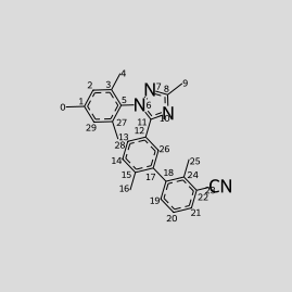 Cc1cc(C)c(-n2nc(C)nc2-c2ccc(C)c(-c3cccc(C#N)c3C)c2)c(C)c1